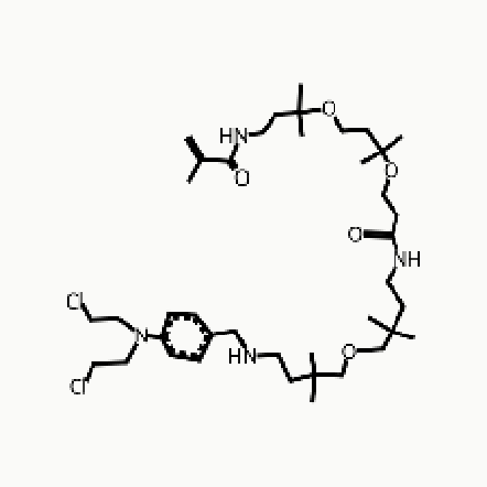 C=C(C)C(=O)NCCC(C)(C)OCCC(C)(C)OCCC(=O)NCCC(C)(C)COCC(C)(C)CCNCc1ccc(N(CCCl)CCCl)cc1